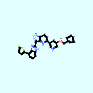 Fc1ccc(-c2cccc3[nH]c(-c4n[nH]c5ccc(-c6cncc(OCc7ccccc7)c6)nc45)nc23)s1